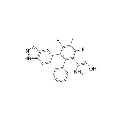 Cc1c(F)c(C(N)=NO)c(-c2ccccc2)c(-c2ccc3[nH]ncc3c2)c1F